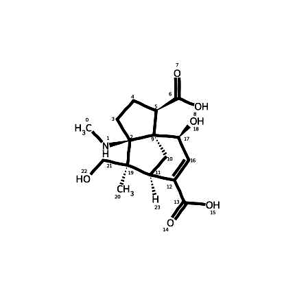 CN[C@@]12CC[C@@H](C(=O)O)[C@]13C[C@@H](C(C(=O)O)=C[C@@H]3O)[C@@]2(C)CO